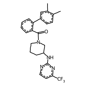 Cc1ccc(-c2ccccc2C(=O)N2CCCC(Nc3nccc(C(F)(F)F)n3)C2)cc1C